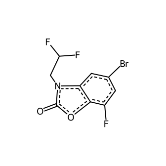 O=c1oc2c(F)cc(Br)cc2n1CC(F)F